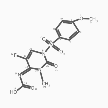 COc1ccc(S(=O)(=O)n2cc(F)c(=NC(=O)O)n(C)c2=O)cc1